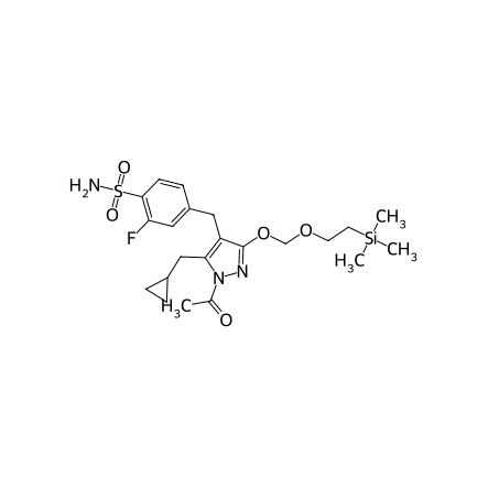 CC(=O)n1nc(OCOCC[Si](C)(C)C)c(Cc2ccc(S(N)(=O)=O)c(F)c2)c1CC1CC1